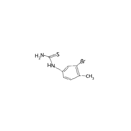 Cc1ccc(NC(N)=S)cc1Br